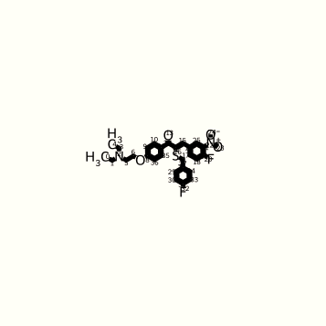 CCN(CC)CCOc1ccc(C(=O)C(=Cc2ccc(F)c([N+](=O)[O-])c2)SCc2ccc(F)cc2)cc1